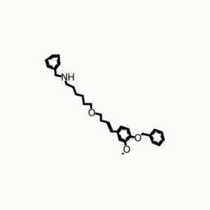 COc1cc(C=CCCOCCCCCCNCc2ccccc2)ccc1OCc1ccccc1